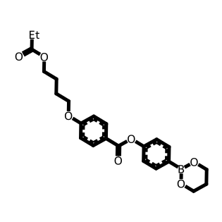 CCC(=O)OCCCCOc1ccc(C(=O)Oc2ccc(B3OCCCO3)cc2)cc1